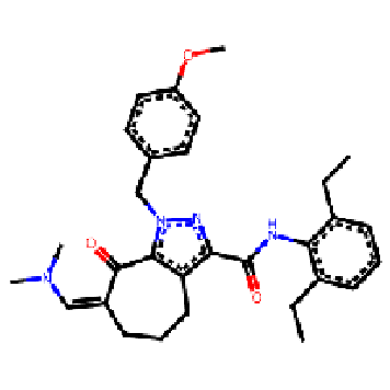 CCc1cccc(CC)c1NC(=O)c1nn(Cc2ccc(OC)cc2)c2c1CCCC(=CN(C)C)C2=O